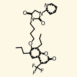 CCCc1cc2c(C(F)(F)F)cc(=O)oc2c(CCC)c1OCCCCN1C(=O)CN(c2ccccn2)C1=O